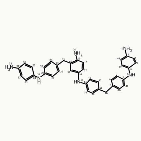 Nc1ccc(Nc2ccc(Cc3ccc(Nc4ccc(N)c(Cc5ccc(Nc6ccc(N)cc6)cc5)c4)cc3)cc2)cc1